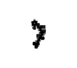 CSc1ccccc1OCC(O)CNC(C)(C)CNC(=O)CCCO[N+](=O)[O-]